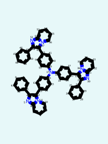 c1ccc(-c2nc3ccccn3c2-c2ccc(N(c3ccc(-c4c(-c5ccccc5)nc5ccccn45)cc3)c3ccc(-c4c(-c5ccccc5)nc5ccccn45)cc3)cc2)cc1